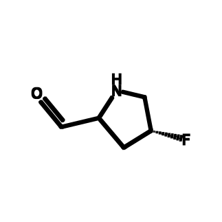 O=CC1C[C@@H](F)CN1